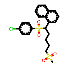 CS(=O)(=O)CCCCC(c1cccc2ccccc12)S(=O)(=O)c1ccc(Cl)cc1